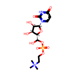 C[N+](C)(C)CCOP(=O)([O-])OC(O)[C@H]1O[C@@H](n2ccc(=O)[nH]c2=O)[C@H](O)[C@@H]1O